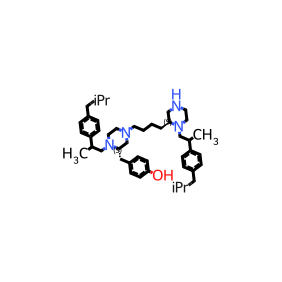 CC(C)Cc1ccc(C(C)CN2CCNC[C@@H]2CCCCN2CCN(CC(C)c3ccc(CC(C)C)cc3)[C@@H](Cc3ccc(O)cc3)C2)cc1